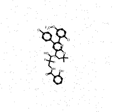 CC1(C)C[C@@H](C(O)C(F)(F)CNC(=O)c2ccccc2O)c2cc(-c3ccc(Cl)cc3)c(-c3cc(OC(F)(F)F)ccc3Cl)nc2O1